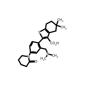 CN(C)Cc1cc(N2CCCCC2=O)ccc1-c1sc2c(c1C(=O)O)CC(C)(C)CC2